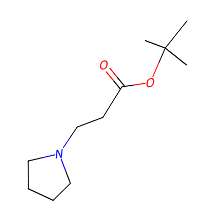 CC(C)(C)OC(=O)CCN1CCCC1